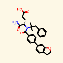 CC(C)(Cc1ccccc1)N(C(=O)c1ccc(-c2ccc3c(c2)OCC3)cc1)[C@@H](CCC(=O)O)C(N)=O